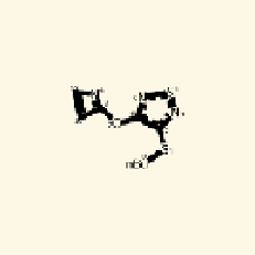 CCCCSc1nsnc1OC1=NC=C1